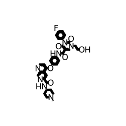 CN1CCC(NC(=O)c2cc3c(Oc4ccc(NC(=O)c5cn(CCO)c(=O)n(-c6ccc(F)cc6)c5=O)cc4)ccnc3cn2)CC1